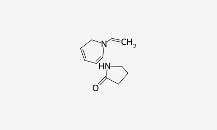 C=CN1C=CC=CC1.O=C1CCCN1